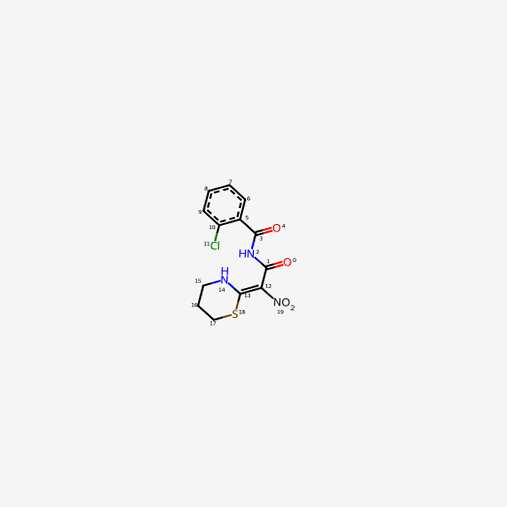 O=C(NC(=O)c1ccccc1Cl)C(=C1NCCCS1)[N+](=O)[O-]